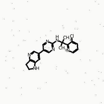 CC(C)(Nc1ncc(-c2cnc3c(c2)NCC3)cn1)c1ncccc1Cl